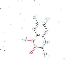 CCCOC(=O)C(C)Nc1ccc(Cl)c(Cl)c1